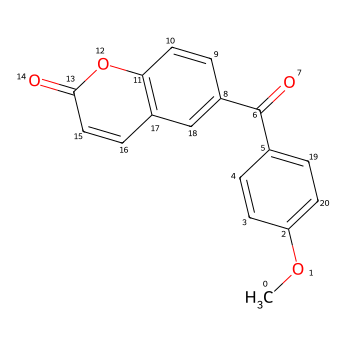 COc1ccc(C(=O)c2ccc3oc(=O)ccc3c2)cc1